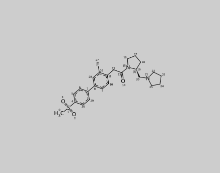 CS(=O)(=O)c1ccc(-c2ccc(CC(=O)N3CCC[C@H]3CN3CCCC3)c(F)c2)cc1